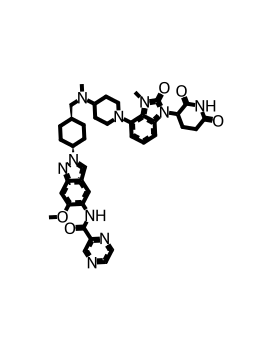 COc1cc2nn([C@H]3CC[C@H](CN(C)C4CCN(c5cccc6c5n(C)c(=O)n6C5CCC(=O)NC5=O)CC4)CC3)cc2cc1NC(=O)c1cnccn1